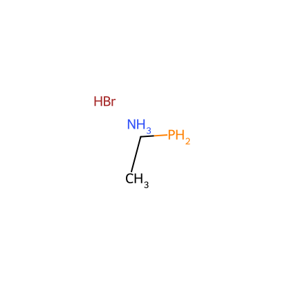 Br.CCP.N